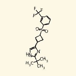 CC(C)(C)c1nc(C2CC(S(=O)(=O)c3cccc(C(F)(F)F)c3)C2)c[nH]1